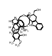 COc1c(C)cc2c(c1O)[C@@H]1[C@@H]3[C@@H]4SC[C@]5(N[C@@H](CO)Cc6c5[nH]c5ccccc65)C(=O)OC[C@@H](c5c6c(c(C)c(C)c54)OCO6)N3[C@@H](O)[C@H](C2)N1C